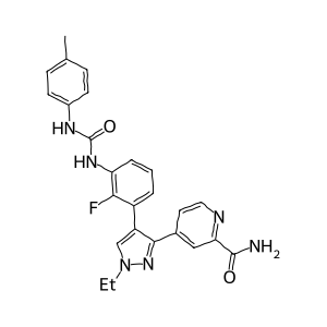 CCn1cc(-c2cccc(NC(=O)Nc3ccc(C)cc3)c2F)c(-c2ccnc(C(N)=O)c2)n1